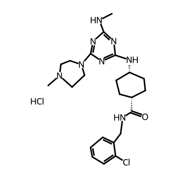 CNc1nc(N[C@H]2CC[C@@H](C(=O)NCc3ccccc3Cl)CC2)nc(N2CCN(C)CC2)n1.Cl